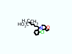 CC(C)(CCCCC(c1ccccc1Cl)N1CCc2occc2C1)C(=O)O